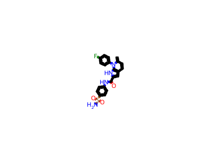 C=C1C=Cc2cc(C(=O)Nc3ccc(S(N)(=O)=O)cc3)[nH]c2N1c1ccc(F)cc1